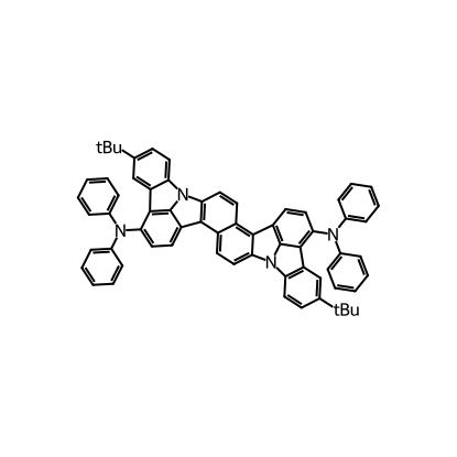 CC(C)(C)c1ccc2c(c1)c1c(N(c3ccccc3)c3ccccc3)ccc3c4c5ccc6c(c5ccc4n2c31)c1ccc(N(c2ccccc2)c2ccccc2)c2c3cc(C(C)(C)C)ccc3n6c12